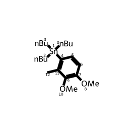 CCC[CH2][Sn]([CH2]CCC)([CH2]CCC)[c]1ccc(OC)c(OC)c1C